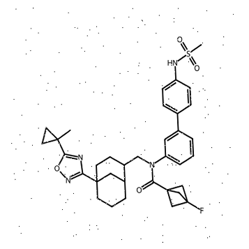 CC1(c2nc(C34CCCC(C3)C(CN(C(=O)C35CC(F)(C3)C5)c3cccc(-c5ccc(NS(C)(=O)=O)cc5)c3)CC4)no2)CC1